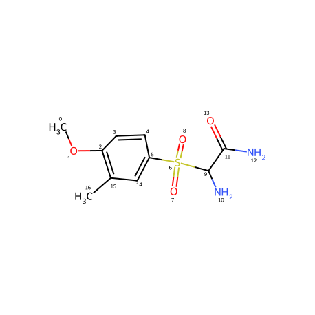 COc1ccc(S(=O)(=O)C(N)C(N)=O)cc1C